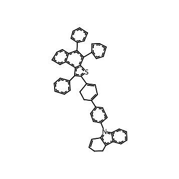 C1=Cc2c(c3ccccc3n2-c2ccc(C3=CC=C(c4sc5c(-c6ccccc6)c(-c6ccccc6)c6ccccc6c5c4-c4ccccc4)CC3)cc2)CC1